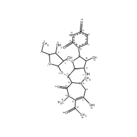 CCC1OC(O[C@H](C2OC(n3ccc(=O)[nH]c3=O)C(O)C2O)C2C(=O)N(C)C(C(C)=O)=C(O)CN2C)C(O)C1O